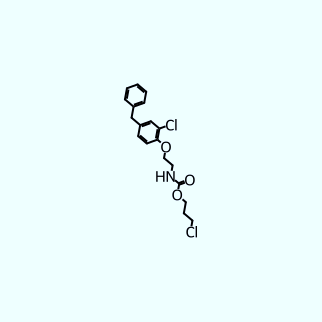 O=C(NCCOc1ccc(Cc2ccccc2)cc1Cl)OCCCCl